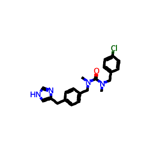 CN(Cc1ccc(Cl)cc1)C(=O)N(C)Cc1ccc(Cc2c[nH]cn2)cc1